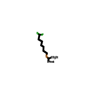 CCCCCC(SCCCCCCC(F)F)C(=O)OCC